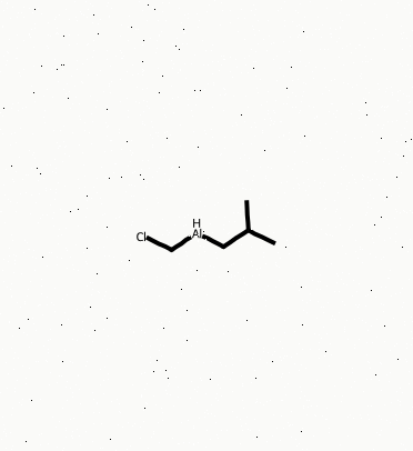 CC(C)[CH2][AlH][CH2]Cl